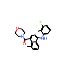 Cc1c(F)cccc1Nc1ccc(C(=O)N2CCOCC2)c2c(C)cccc12